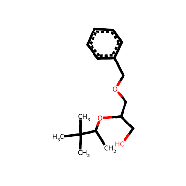 [CH2]C(OC(CO)COCc1ccccc1)C(C)(C)C